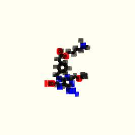 CCOCc1nc(N)c2nc(O)n(Cc3cccc(CC(=O)OCCCCN(C)C)c3)c2n1